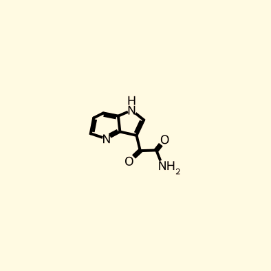 NC(=O)C(=O)c1c[nH]c2cccnc12